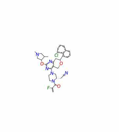 C=C(F)C(=O)N1CCN(c2nc(OC3CN(C)CC3C)nc3c2COC(c2cccc4cccc(Cl)c24)C3)C[C@@H]1CC#N